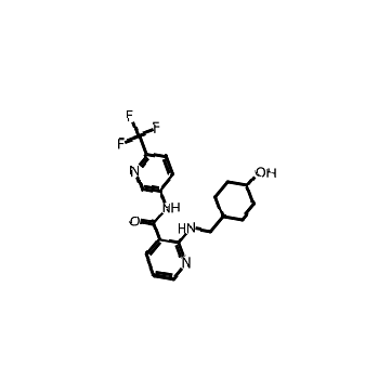 O=C(Nc1ccc(C(F)(F)F)nc1)c1cccnc1NCC1CCC(O)CC1